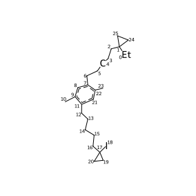 CCC1(CCCCCc2cc(C)c(CCCCCC3(I)CC3)cc2C)CC1